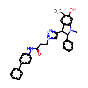 CN1c2cc(O)c(C(=O)O)cc2C(c2cn(CCC(=O)Nc3ccc(-c4ccccc4)cc3)nn2)C1c1ccccc1